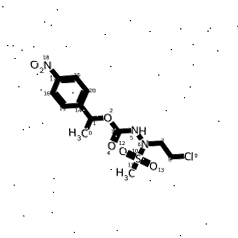 CC(OC(=O)NN(CCCl)S(C)(=O)=O)c1ccc([N+](=O)[O-])cc1